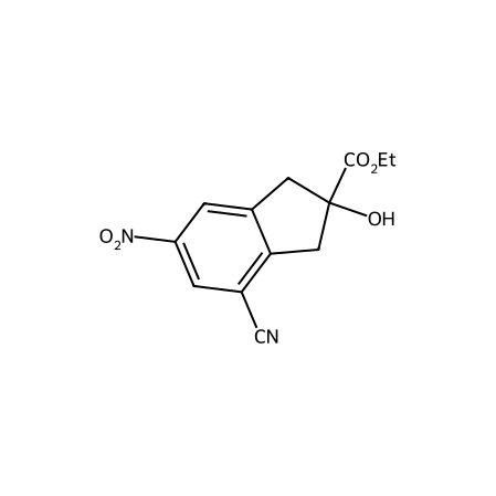 CCOC(=O)C1(O)Cc2cc([N+](=O)[O-])cc(C#N)c2C1